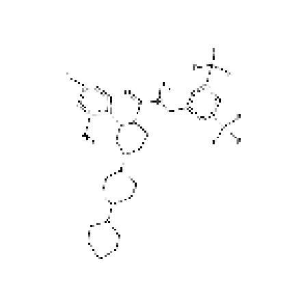 Cc1cc(F)ccc1[C@H]1C[C@@H](N2CCC(N3CCCCC3)CC2)CCN1C(=O)N(C)Cc1cc(C(F)(F)F)cc(C(F)(F)F)c1